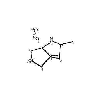 CC1C=C2CNCC2N1.Cl.Cl